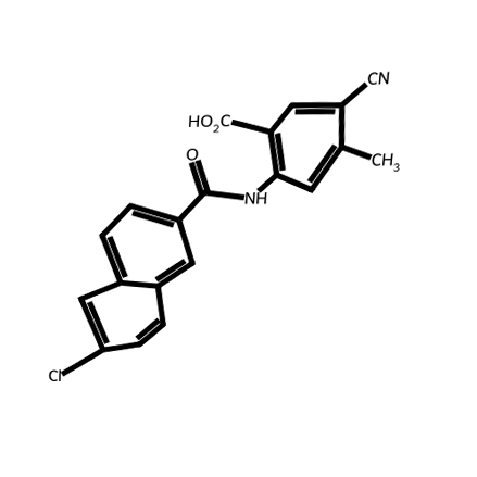 Cc1cc(NC(=O)c2ccc3cc(Cl)ccc3c2)c(C(=O)O)cc1C#N